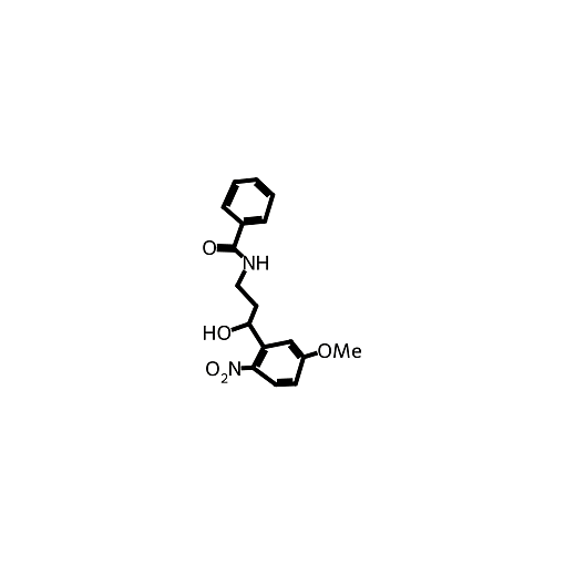 COc1ccc([N+](=O)[O-])c(C(O)CCNC(=O)c2ccccc2)c1